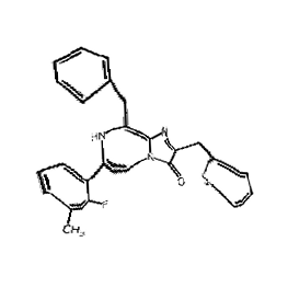 Cc1cccc(-c2cn3c(=O)c(Cc4cccs4)nc-3c(Cc3ccccc3)[nH]2)c1F